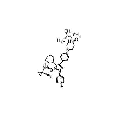 CC(C)N(C)[SH]1(=O)CCN(c2ccc(-c3cn(-c4ccc(F)cc4)nc3[C@@H]3CCCC[C@H]3C(=O)NC3(C#N)CC3)cc2)CC1